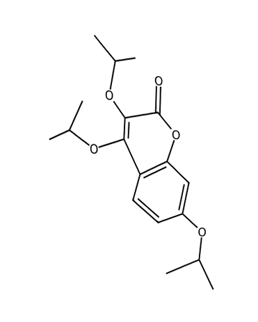 CC(C)Oc1ccc2c(OC(C)C)c(OC(C)C)c(=O)oc2c1